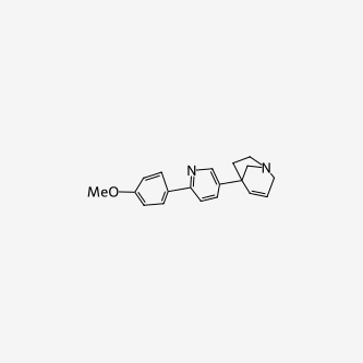 COc1ccc(-c2ccc(C34C=CCN(CC3)C4)cn2)cc1